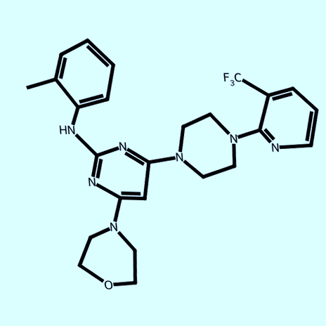 Cc1ccccc1Nc1nc(N2CCOCC2)cc(N2CCN(c3ncccc3C(F)(F)F)CC2)n1